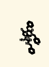 CCCN(C(=O)NCc1ccccc1)N1CC(=O)N2[C@@H](Cc3ccccc3)C(=O)N(Cc3ccncc3)C[C@@H]21